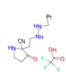 CC(C)CNNCCC1(C#N)NCCC1=O.O=C(O)C(F)(F)F